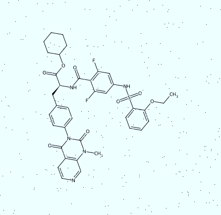 CCOc1ccccc1S(=O)(=O)Nc1cc(F)c(C(=O)N[C@@H](Cc2ccc(-n3c(=O)c4ccncc4n(C)c3=O)cc2)C(=O)OC2CCCCC2)c(F)c1